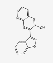 Oc1cc2cccnc2nc1-c1csc2ccccc12